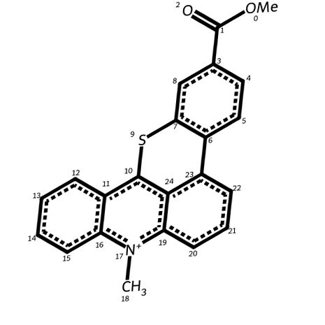 COC(=O)c1ccc2c(c1)Sc1c3ccccc3[n+](C)c3cccc-2c13